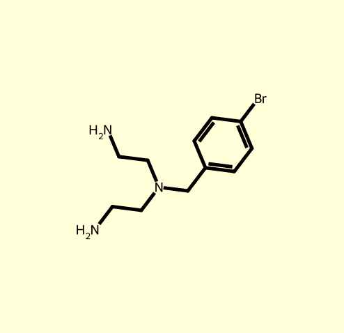 NCCN(CCN)Cc1ccc(Br)cc1